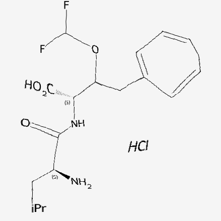 CC(C)C[C@H](N)C(=O)N[C@H](C(=O)O)C(Cc1ccccc1)OC(F)F.Cl